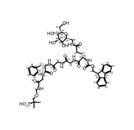 CC(C)(COCNC(=O)CNC(=O)[C@H](Cc1ccccc1)NC(=O)CNC(=O)CNC(=O)[C@H](CCC(=O)NC[C@@H]1O[C@H](CO)[C@@H](O)[C@H](O)[C@H]1O)NC(=O)OCC1c2ccccc2-c2ccccc21)C(=O)O